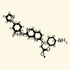 COC(=O)CN(c1ccc2cnc(Nc3ccc(-n4cccn4)cc3F)cc2n1)[C@H]1CC[C@@H](N)CC1